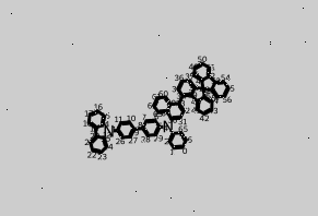 c1ccc(N(c2ccc(-c3ccc(-n4c5ccccc5c5ccccc54)cc3)cc2)c2ccc(-c3cccc4c3-c3ccccc3C43c4ccccc4-c4ccccc43)c3ccccc23)cc1